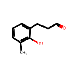 Cc1cccc(CCC=O)c1O